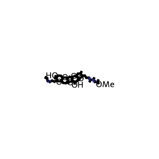 C=C/C=C\CCC1OC2CCC3(C)OC4C(O)CC5(C)OC(CC/C=C(C)/C(C)=C/C(C)OC)C(C)CC5OC4CC3OC2CCC1(C)O